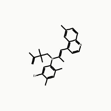 C=C(C)C(C)(C)CN(/C(C)=C/c1ccnc2ccc(C)cc12)c1cc(CC)c(C)cc1C